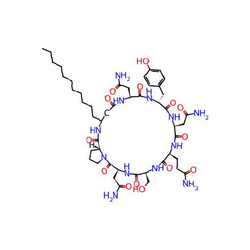 CCCCCCCCCCCC1CC(=O)N[C@@H](CC(N)=O)C(=O)N[C@H](Cc2ccc(O)cc2)C(=O)N[C@@H](CC(N)=O)C(=O)N[C@@H](CCC(N)=O)C(=O)N[C@@H](CO)C(=O)N[C@@H](CC(N)=O)C(=O)N2CCC[C@@H]2C(=O)N1